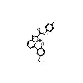 O=C(Nc1ccc(F)cc1)C1N=C2C=CC=C(c3cc(C(F)(F)F)ccc3Cl)N2N1